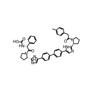 Cc1ccc(CC(=O)N2CCC[C@H]2c2ncc(-c3ccc(-c4ccc(-c5cnc([C@@H]6CCCN6C(=O)[C@H](NC(=O)O)c6ccccc6)[nH]5)cc4)cc3)[nH]2)cc1